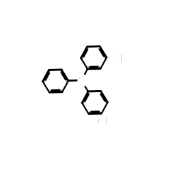 [Cl-].[Sb].c1ccc([S+](c2ccccc2)c2ccccc2)cc1